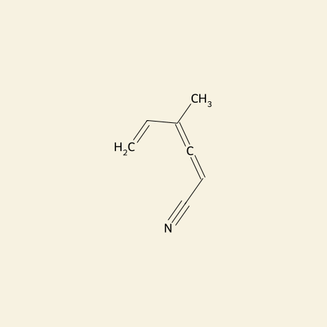 C=CC(C)=C=CC#N